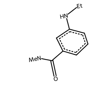 CCNc1cccc(C(=O)NC)c1